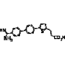 N=C(N)c1ccc(-c2ccc(-c3ccc(CCC(=O)O)s3)cc2)cc1